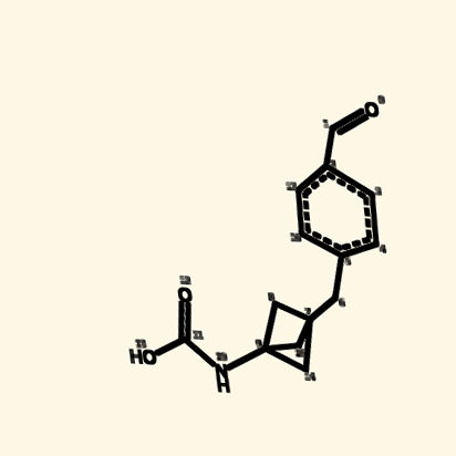 O=Cc1ccc(CC23CC(NC(=O)O)(C2)C3)cc1